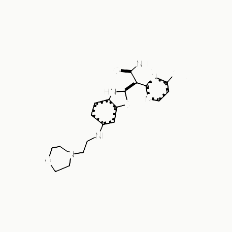 NC(=O)/C(=C1\Nc2ccc(NCCN3CCOCC3)cc2S1)c1nccc(C(F)(F)F)n1